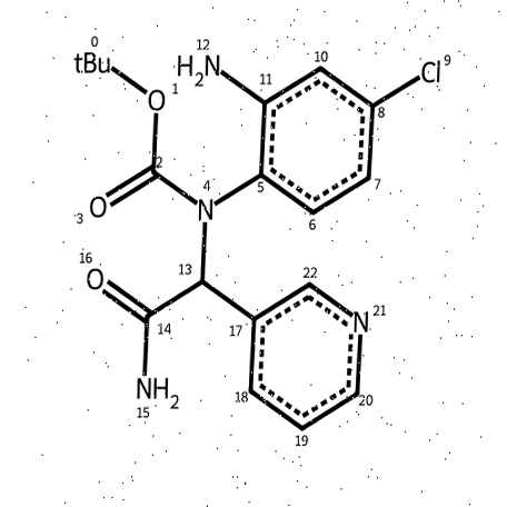 CC(C)(C)OC(=O)N(c1ccc(Cl)cc1N)C(C(N)=O)c1cccnc1